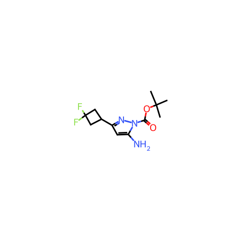 CC(C)(C)OC(=O)n1nc(C2CC(F)(F)C2)cc1N